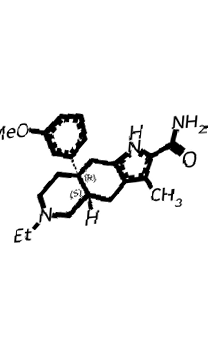 CCN1CC[C@@]2(c3cccc(OC)c3)Cc3[nH]c(C(N)=O)c(C)c3C[C@@H]2C1